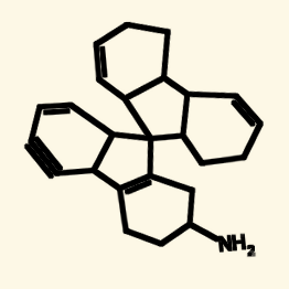 NC1CCC2=C(C1)C1(C3C=CC#CC23)C2C=CCCC2C2C=CCCC21